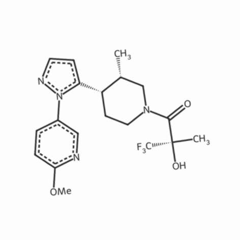 COc1ccc(-n2nccc2[C@H]2CCN(C(=O)[C@@](C)(O)C(F)(F)F)C[C@H]2C)cn1